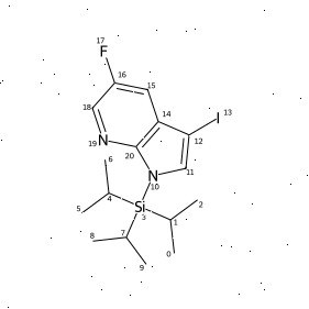 CC(C)[Si](C(C)C)(C(C)C)n1cc(I)c2cc(F)cnc21